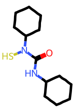 O=C(NC1CCCCC1)N(S)C1CCCCC1